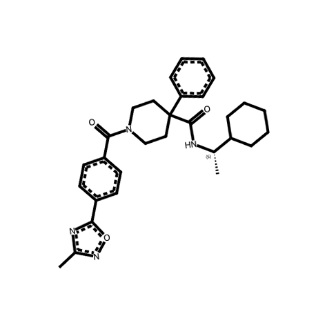 Cc1noc(-c2ccc(C(=O)N3CCC(C(=O)N[C@@H](C)C4CCCCC4)(c4ccccc4)CC3)cc2)n1